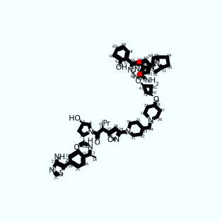 CC(C)[C@H](C(=O)N1C[C@H](O)C[C@H]1C(=O)N[C@@H](C)c1ccc(-c2scnc2N)cc1)c1cc(N2CCC(CN3CCC(O[C@H]4C[C@H](Oc5cc(N6C7CCC6CN(c6cc(-c8ccccc8O)nnc6N)C7)ccn5)C4)CC3)CC2)no1